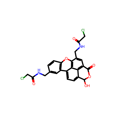 O=C(CCl)NCc1ccc2c(c1)-c1ccc3c4c(cc(CNC(=O)CCl)c(c14)O2)C(=O)OC3O